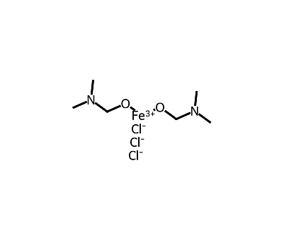 CN(C)C[O][Fe+3][O]CN(C)C.[Cl-].[Cl-].[Cl-]